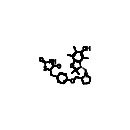 Cc1c(C)c2c(c(C)c1O)[C@H](CN1CCC[C@H]1COc1ccc(CC3SC(=O)NC3=O)cc1)C(C)(C)O2